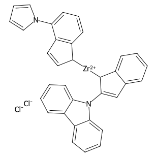 C1=C[CH]([Zr+2][CH]2C(n3c4ccccc4c4ccccc43)=Cc3ccccc32)c2cccc(-n3cccc3)c21.[Cl-].[Cl-]